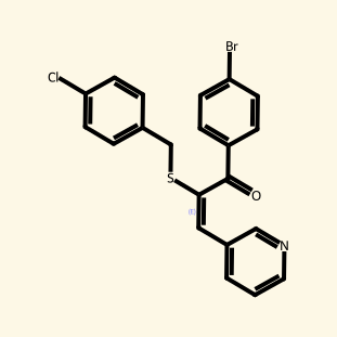 O=C(/C(=C\c1cccnc1)SCc1ccc(Cl)cc1)c1ccc(Br)cc1